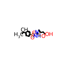 CC(C)c1ccc(S(=O)(=O)Nc2ncc(CC(=O)O)s2)cc1